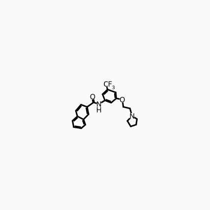 O=C(Nc1cc(OCCN2CCCC2)cc(C(F)(F)F)c1)c1ccc2ccccc2c1